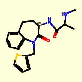 CNC(C)C(=O)N[C@H]1CCc2ccccc2N(Cc2cccs2)C1=O